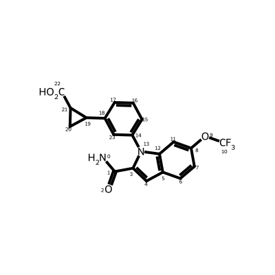 NC(=O)c1cc2ccc(OC(F)(F)F)cc2n1-c1cccc(C2CC2C(=O)O)c1